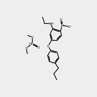 CCCc1ccc(Oc2ccc([N+](=O)[O-])c(NCC)c2)cc1.CO[PH](=O)OC